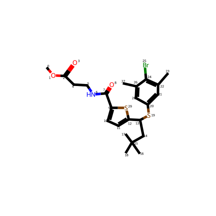 COC(=O)CCNC(=O)c1ccc(C(CC(C)(C)C)Sc2cc(C)c(Br)c(C)c2)s1